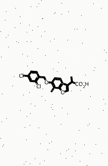 Cc1c(OCc2ccc(Cl)cc2Cl)ccc2c(C(C)C(=O)O)coc12